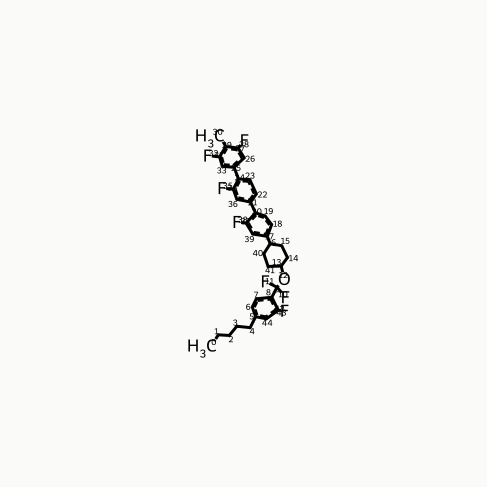 CCCCCc1ccc(C(F)(F)OC2CCC(c3ccc(-c4ccc(-c5cc(F)c(C)c(F)c5)c(F)c4)c(F)c3)CC2)c(F)c1